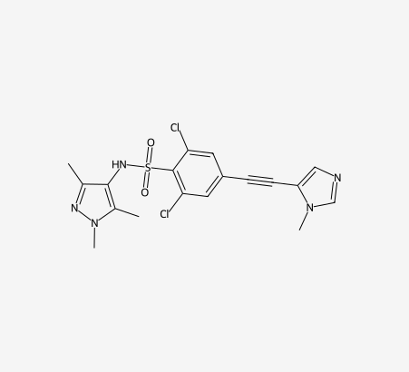 Cc1nn(C)c(C)c1NS(=O)(=O)c1c(Cl)cc(C#Cc2cncn2C)cc1Cl